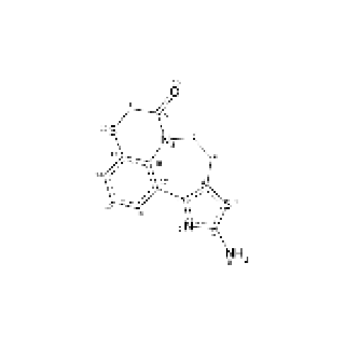 Nc1nc2c(s1)CCN1C(=O)CSc3cccc-2c31